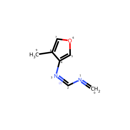 C=N/C=N\c1cocc1C